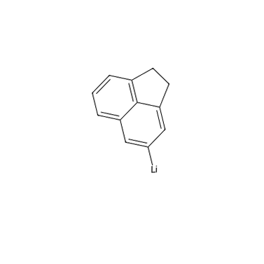 [Li][c]1cc2c3c(cccc3c1)CC2